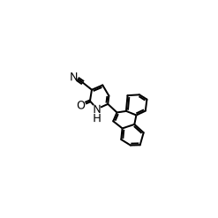 N#Cc1ccc(-c2cc3ccccc3c3ccccc23)[nH]c1=O